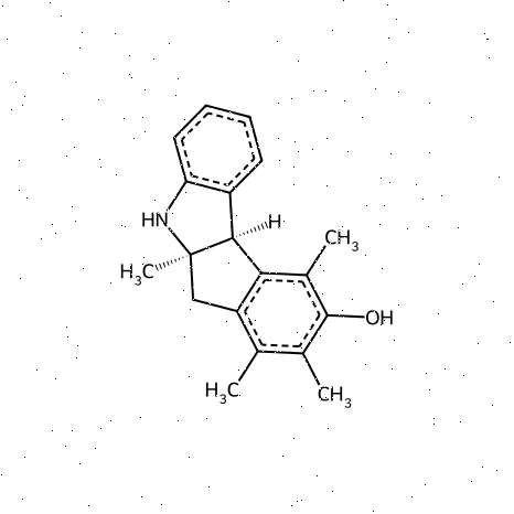 Cc1c(C)c2c(c(C)c1O)[C@@H]1c3ccccc3N[C@]1(C)C2